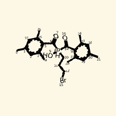 Cc1cc(C)c(C(=O)[PH](O)(CCCBr)C(=O)c2c(C)cc(C)cc2C)c(C)c1